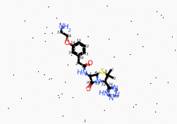 CC1(C)SC2C(NC(=O)Cc3cccc(OCCN)c3)C(=O)N2C1c1nnn[nH]1